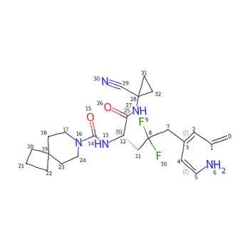 C=C/C=C(\C=C/N)CC(F)(F)C[C@H](NC(=O)N1CCC2(CCC2)CC1)C(=O)NC1(C#N)CC1